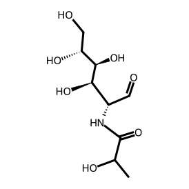 CC(O)C(=O)N[C@@H](C=O)[C@@H](O)[C@H](O)[C@H](O)CO